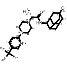 C[C@H](C(=O)NC1C2CC3CC1CC(O)(C3)C2)N1CCN(c2ccc(C(F)(F)F)cn2)CC1